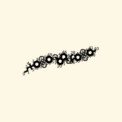 CCCC(C)(C)c1ccc(S(=O)(=O)c2ccc(Oc3cccc4c(OC(C)(CC)c5ccc(S(=O)(=O)c6ccc(C)cc6)cc5)cccc34)cc2)cc1